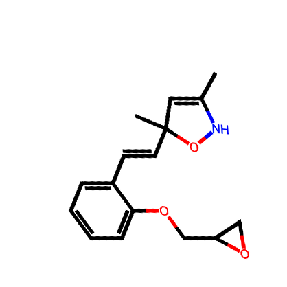 CC1=CC(C)(/C=C/c2ccccc2OCC2CO2)ON1